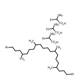 CC(C)CCCC(C)CCCC(C)CCCCC(C)CCCC(C)CCCC(C)C.CCCCC(CC)C(=O)O.CCCCC(CC)C(=O)O.CCCCC(CC)C(=O)O